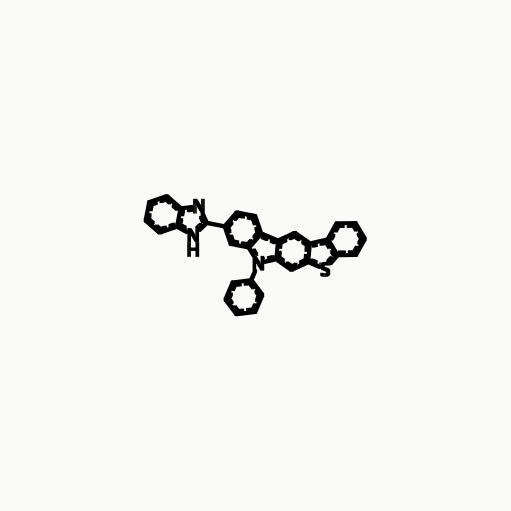 c1ccc(-n2c3cc(-c4nc5ccccc5[nH]4)ccc3c3cc4c(cc32)sc2ccccc24)cc1